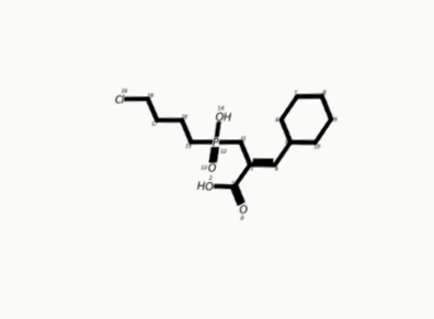 O=C(O)C(=CC1CCCCC1)CP(=O)(O)CCCCCl